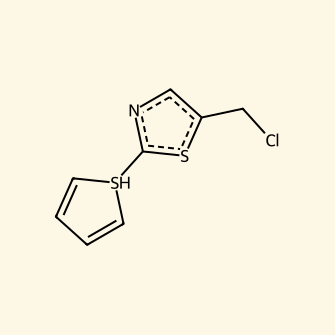 ClCc1cnc([SH]2C=CC=C2)s1